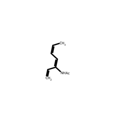 C=C/C(=C\C=C/C)NC(C)=O